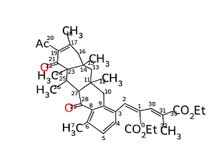 CCOC(=O)C(=C\c1ccc(C)c2c1CC1(C)CC3(C)CC(C)=C(C(C)=O)C(=O)C3(C)C(C)C1C2=O)/C=C(\C)C(=O)OCC